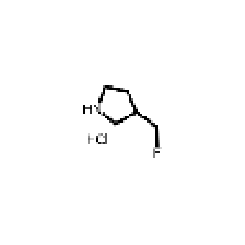 Cl.FCC1CCNC1